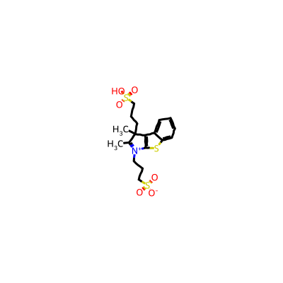 CC1=[N+](CCCS(=O)(=O)[O-])c2sc3ccccc3c2C1(C)CCCS(=O)(=O)O